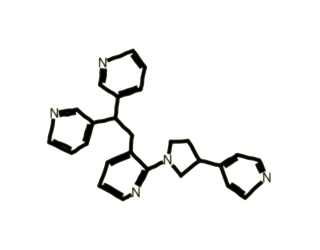 c1cncc(C(Cc2cccnc2N2CCC(c3ccncc3)C2)c2cccnc2)c1